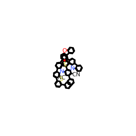 N#Cc1c(-c2ccccc2)c(C#N)c(-n2c3c(ccc4c5ccccc5sc43)c3ccc4c5cccc(-c6ccccc6)c5sc4c32)c(-c2ccccc2)c1-n1c2ccccc2c2ccc(-c3cccc4oc5ccccc5c34)cc21